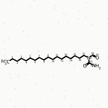 CCCCCCCCCCCCCCCCCCN(C=O)C(N)=O